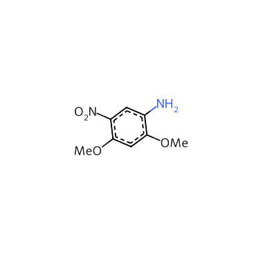 COc1cc(OC)c([N+](=O)[O-])cc1N